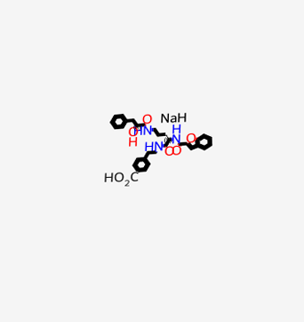 O=C(O)c1ccc(CCNC(=O)[C@H](CCCNC(=O)[C@H](O)Cc2ccccc2)NC(=O)c2cc3ccccc3o2)cc1.[NaH]